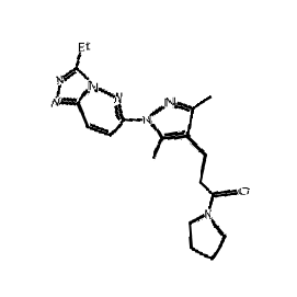 CCc1nnc2ccc(-n3nc(C)c(CCC(=O)N4CCCC4)c3C)nn12